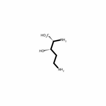 NCC[C@H](O)[C@@H](N)C(=O)O